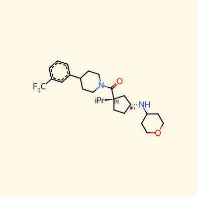 CC(C)[C@]1(C(=O)N2CCC(c3cccc(C(F)(F)F)c3)CC2)CC[C@@H](NC2CCOCC2)C1